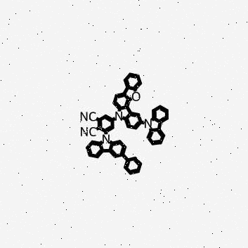 N#Cc1cc(-n2c3ccc(-n4c5ccccc5c5ccccc54)cc3c3c4oc5ccccc5c4ccc32)cc(-n2c3ccccc3c3cc(-c4ccccc4)ccc32)c1C#N